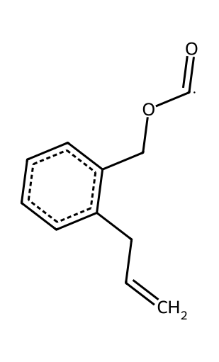 C=CCc1ccccc1CO[C]=O